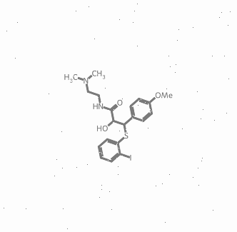 COc1ccc(C(Sc2ccccc2I)C(O)C(=O)NCCN(C)C)cc1